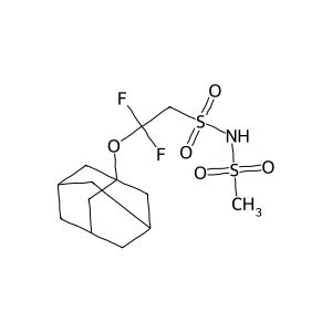 CS(=O)(=O)NS(=O)(=O)CC(F)(F)OC12CC3CC(CC(C3)C1)C2